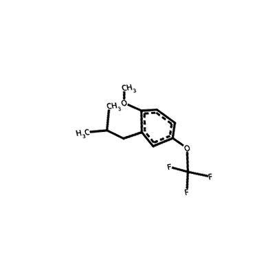 COc1ccc(OC(F)(F)F)cc1CC(C)C